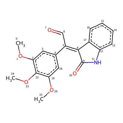 COc1cc(C(C=O)=C2C(=O)Nc3ccccc32)cc(OC)c1OC